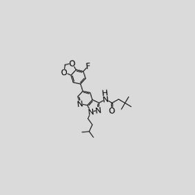 CC(C)CCn1nc(NC(=O)CC(C)(C)C)c2cc(-c3cc(F)c4c(c3)OCO4)cnc21